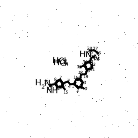 Cc1cc(CCc2ccc(C(=N)N)cc2C)cc(CCc2ccc(C3=NCCCN3)cc2C)c1.Cl.Cl